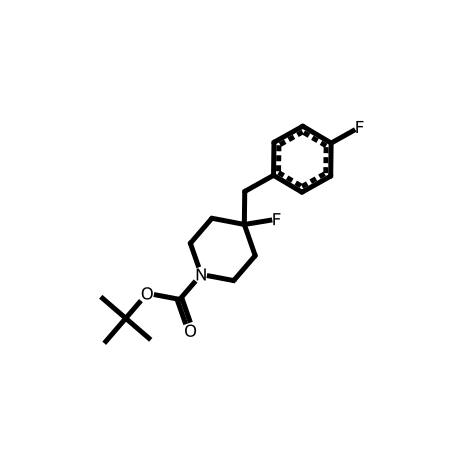 CC(C)(C)OC(=O)N1CCC(F)(Cc2ccc(F)cc2)CC1